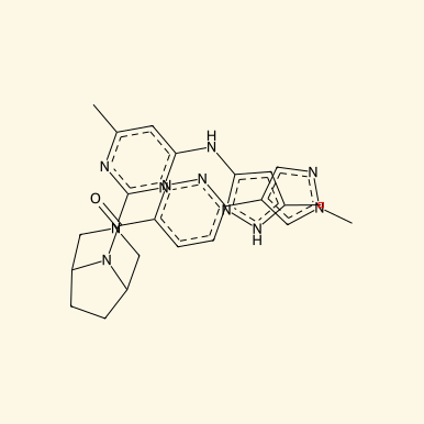 Cc1cc(Nc2cc(C)[nH]n2)nc(N2CC3CCC(C2)N3C(=O)c2ccc(-c3cnn(C)c3)nn2)n1